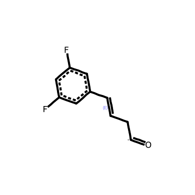 O=[C]C/C=C/c1cc(F)cc(F)c1